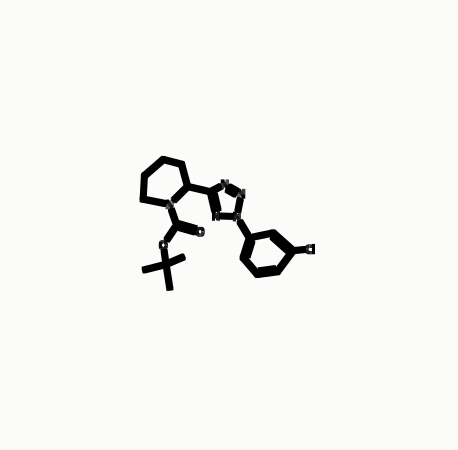 CC(C)(C)OC(=O)N1CCCCC1c1nnn(-c2cccc(Cl)c2)n1